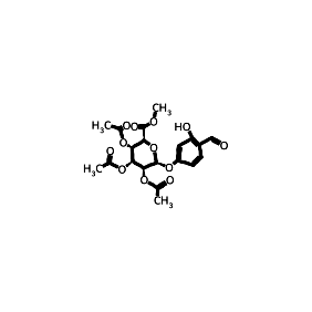 COC(=O)[C@H]1O[C@@H](Oc2ccc(C=O)c(O)c2)[C@@H](OC(C)=O)[C@@H](OC(C)=O)[C@H]1OC(C)=O